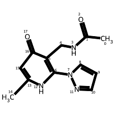 CC(=O)NCc1c(-n2cccn2)[nH]c(C)cc1=O